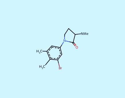 CNC1CCN(c2cc(C)c(C)c(Br)c2)C1=O